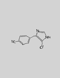 N#Cc1ccc(-c2nc[nH]c2Cl)cc1